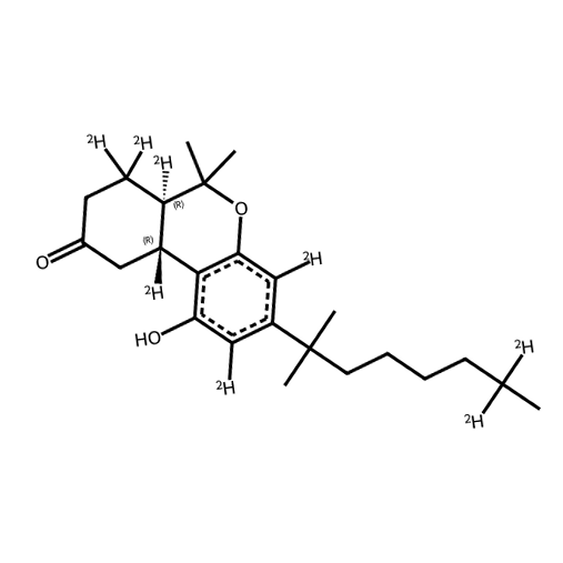 [2H]c1c(O)c2c(c([2H])c1C(C)(C)CCCCC([2H])([2H])C)OC(C)(C)[C@]1([2H])C([2H])([2H])CC(=O)C[C@@]21[2H]